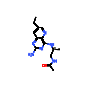 CCc1cnc2c(N[C@@H](C)CNC(C)=O)nc(N)nc2c1